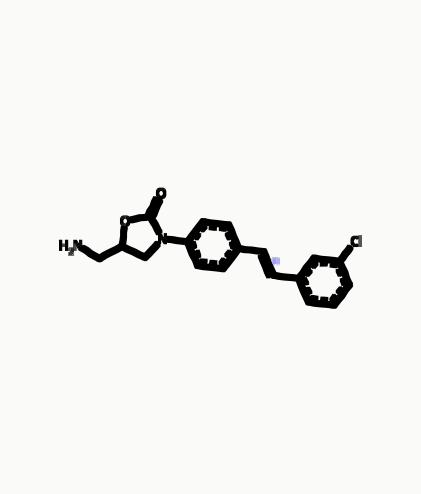 NCC1CN(c2ccc(/C=C/c3cccc(Cl)c3)cc2)C(=O)O1